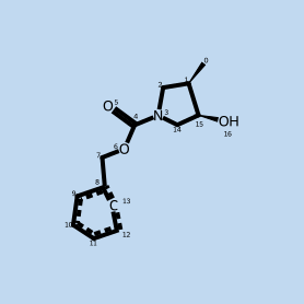 C[C@@H]1CN(C(=O)OCc2ccccc2)C[C@@H]1O